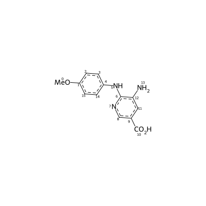 COc1ccc(Nc2ncc(C(=O)O)cc2N)cc1